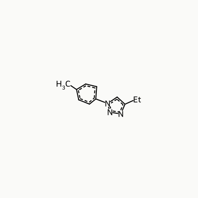 CCc1cn(-c2ccc(C)cc2)nn1